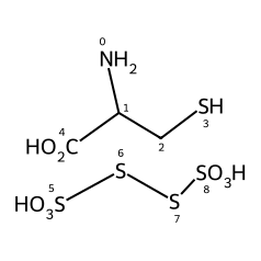 NC(CS)C(=O)O.O=S(=O)(O)SSS(=O)(=O)O